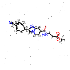 CC(C)(C)OC(=O)CCNC(=O)c1ccn2cc(-c3ccc(C#N)cc3)nc2c1